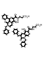 O=C(O)CCNC(=O)c1nc(-c2cccnc2)c2c(=O)n(Cc3ccccc3)ccc2c1O.O=C(O)CCNC(=O)c1ncc2c(cc(Cc3ccccc3)c(=O)n2Cc2ccccc2)c1O